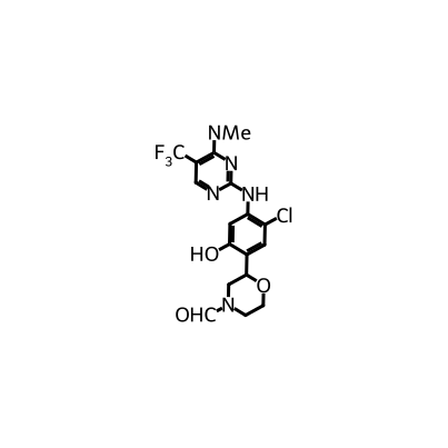 CNc1nc(Nc2cc(O)c(C3CN(C=O)CCO3)cc2Cl)ncc1C(F)(F)F